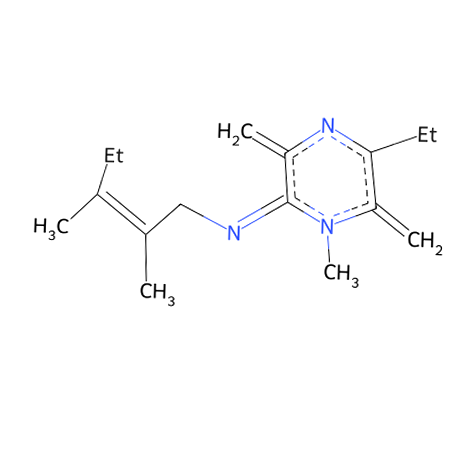 C=c1nc(CC)c(=C)n(C)/c1=N/C/C(C)=C(/C)CC